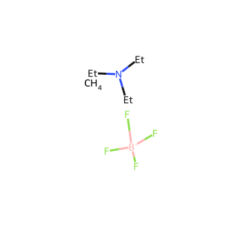 C.CCN(CC)CC.F[B-](F)(F)F